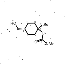 CNC(=O)O[C@]1(C(C)(C)C)CC[C@@H](CO)CC1